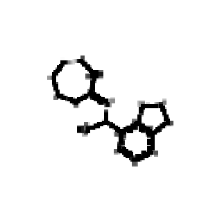 CC(N=C1CCCCCN1)c1cccc2c1CCC2